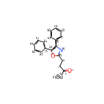 CCCCC(=O)CCc1nc(-c2ccccc2)c(-c2ccccc2)o1